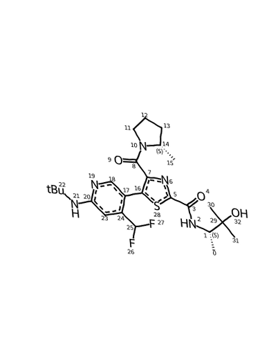 C[C@H](NC(=O)c1nc(C(=O)N2CCC[C@@H]2C)c(-c2cnc(NC(C)(C)C)cc2C(F)F)s1)C(C)(C)O